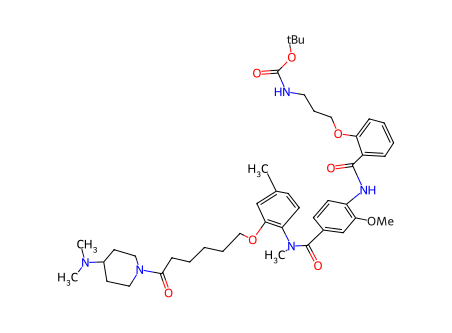 COc1cc(C(=O)N(C)c2ccc(C)cc2OCCCCCC(=O)N2CCC(N(C)C)CC2)ccc1NC(=O)c1ccccc1OCCCNC(=O)OC(C)(C)C